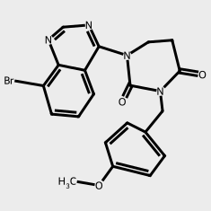 COc1ccc(CN2C(=O)CCN(c3ncnc4c(Br)cccc34)C2=O)cc1